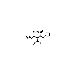 C=CCC(C(N)=O)C(CC1CCC1)C(N)=O